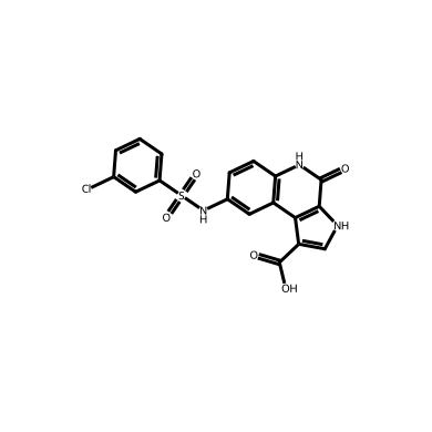 O=C(O)c1c[nH]c2c(=O)[nH]c3ccc(NS(=O)(=O)c4cccc(Cl)c4)cc3c12